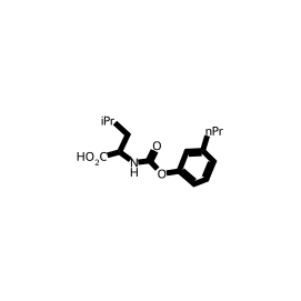 CCCc1cccc(OC(=O)NC(CC(C)C)C(=O)O)c1